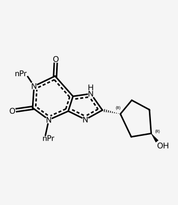 CCCn1c(=O)c2[nH]c([C@@H]3CC[C@@H](O)C3)nc2n(CCC)c1=O